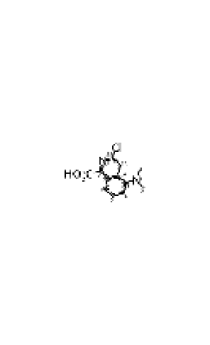 CN(C)c1cccc2c(C(=O)O)nc(Cl)cc12